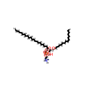 CCCCCC/C=C\CCCCCCCCOC[C@H](COP(=O)(O)OCC[N+](C)(C)C)OC(=O)CCCCCCCCCCCCCCCCCCCCC